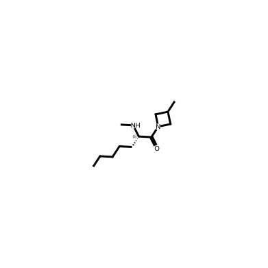 CCCCC[C@H](NC)C(=O)N1CC(C)C1